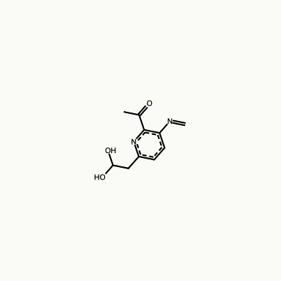 C=Nc1ccc(CC(O)O)nc1C(C)=O